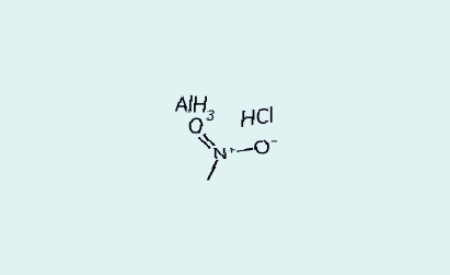 C[N+](=O)[O-].Cl.[AlH3]